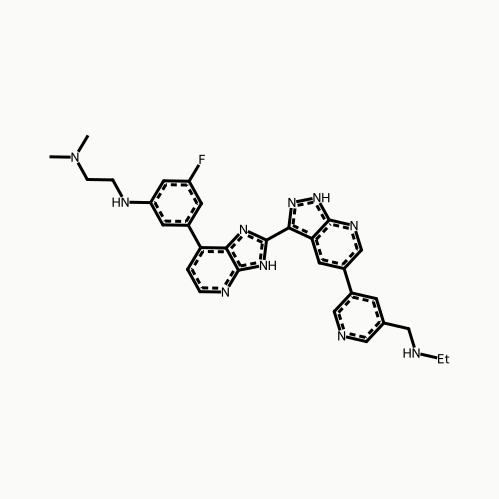 CCNCc1cncc(-c2cnc3[nH]nc(-c4nc5c(-c6cc(F)cc(NCCN(C)C)c6)ccnc5[nH]4)c3c2)c1